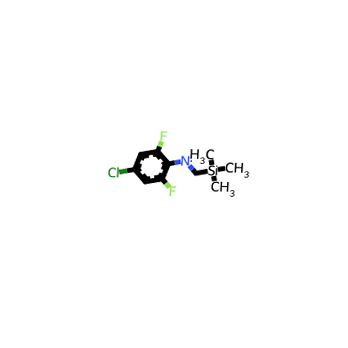 C[Si](C)(C)C[N]c1c(F)cc(Cl)cc1F